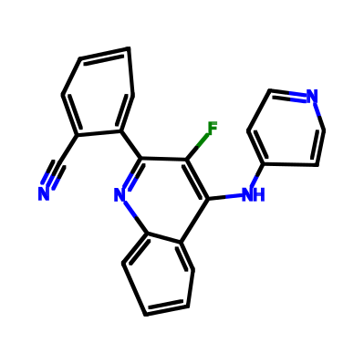 N#Cc1ccccc1-c1nc2ccccc2c(Nc2ccncc2)c1F